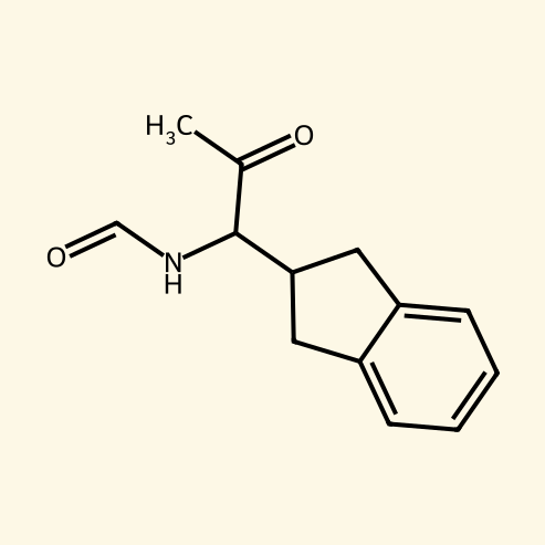 CC(=O)C(NC=O)C1Cc2ccccc2C1